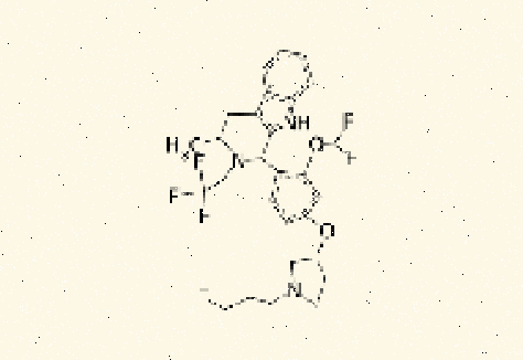 CC1Cc2c([nH]c3ccccc23)C(c2ccc(OC3CCN(CCCF)C3)cc2OC(F)F)N1CC(F)(F)F